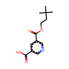 CC(C)(C)CCOC(=O)c1cncc(C(=O)O)c1